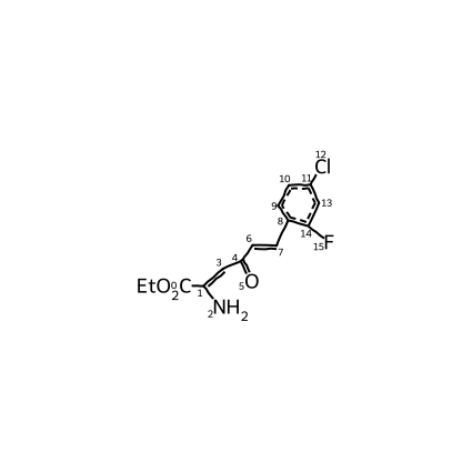 CCOC(=O)C(N)=CC(=O)C=Cc1ccc(Cl)cc1F